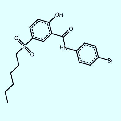 CCCCCCS(=O)(=O)c1ccc(O)c(C(=O)Nc2ccc(Br)cc2)c1